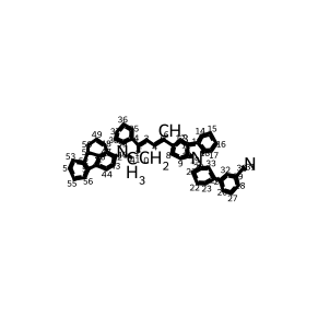 C=C/C(=C\C=C(/C)c1ccc2c(c1)c1ccccc1n2-c1cccc(-c2cccc(C#N)c2)c1)c1ccccc1N(C)c1ccc2c3c1C=CCC3c1ccccc1-2